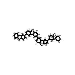 C1=Cc2c(oc3ccc(-c4ccc5oc6ccc(-c7ccc8oc9ccc(-c%10ccc%11sc%12ccccc%12c%11c%10)cc9c8c7)cc6c5c4)cc23)CC1